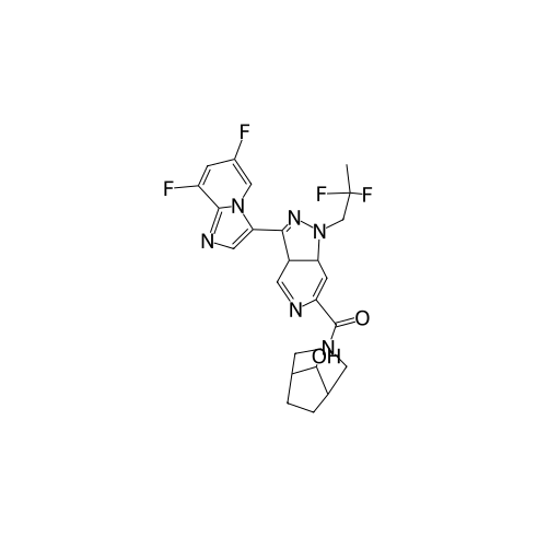 CC(F)(F)CN1N=C(c2cnc3c(F)cc(F)cn23)C2C=NC(C(=O)N3CC4CCC(C3)C4O)=CC21